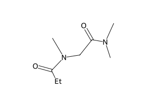 CCC(=O)N(C)CC(=O)N(C)C